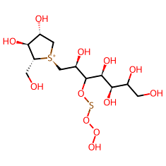 OCC(O)[C@@H](O)[C@H](O)C(OSOOO)[C@H](O)C[S@+]1C[C@@H](O)[C@H](O)[C@H]1CO